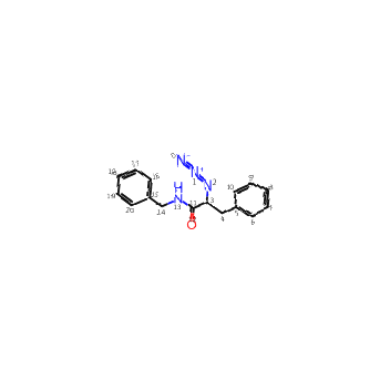 [N-]=[N+]=NC(Cc1ccccc1)C(=O)NCc1ccccc1